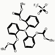 CC(C)(C)OC(=O)Oc1ccccc1[S+](c1ccccc1OC(=O)OC(C)(C)C)c1ccccc1OC(=O)OC(C)(C)C.O=S(=O)([O-])C(F)(F)F